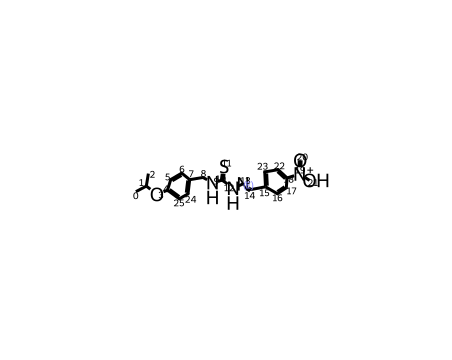 CC(C)Oc1ccc(CNC(=S)N/N=C/c2ccc([N+](=O)O)cc2)cc1